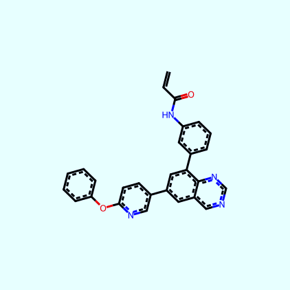 C=CC(=O)Nc1cccc(-c2cc(-c3ccc(Oc4ccccc4)nc3)cc3cncnc23)c1